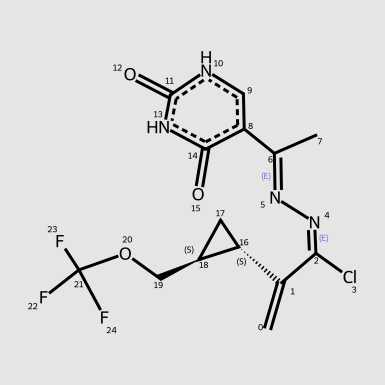 C=C(/C(Cl)=N\N=C(/C)c1c[nH]c(=O)[nH]c1=O)[C@H]1C[C@@H]1COC(F)(F)F